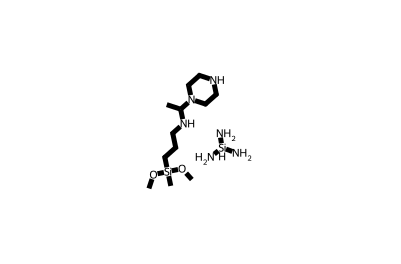 CO[Si](C)(CCCNC(C)N1CCNCC1)OC.N[SiH](N)N